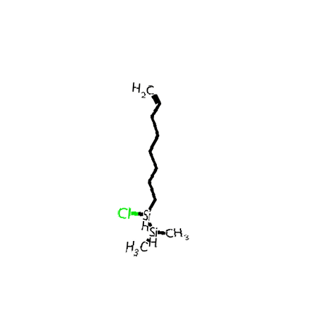 C=CCCCCCC[SiH](Cl)[SiH](C)C